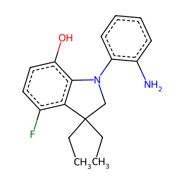 CCC1(CC)CN(c2ccccc2N)c2c(O)ccc(F)c21